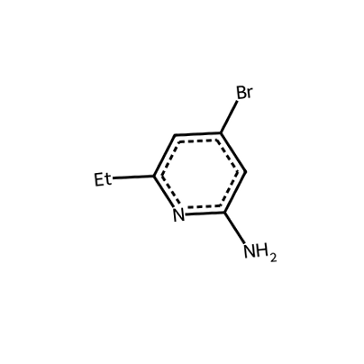 CCc1cc(Br)cc(N)n1